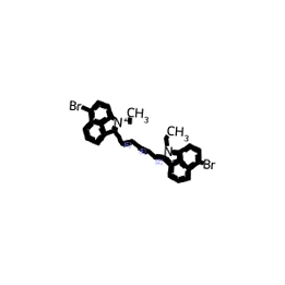 CCn1\c(=C/C=C/C=C/C2=[N+](CC)c3ccc(Br)c4cccc2c34)c2cccc3c(Br)ccc1c32